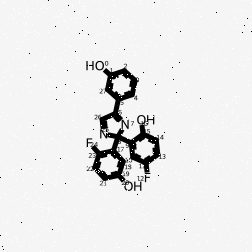 Oc1cccc(C2=NC(c3cc(F)ccc3O)(c3cc(O)ccc3F)N=C2)c1